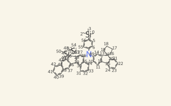 C[Si](C)(C)c1ccc(N(c2ccc3c(c2)C2(CCCC2)c2ccccc2-3)c2cc3c(c4ccccc24)-c2cc4ccccc4cc2C3([Si](C)(C)C)[Si](C)(C)C)cc1